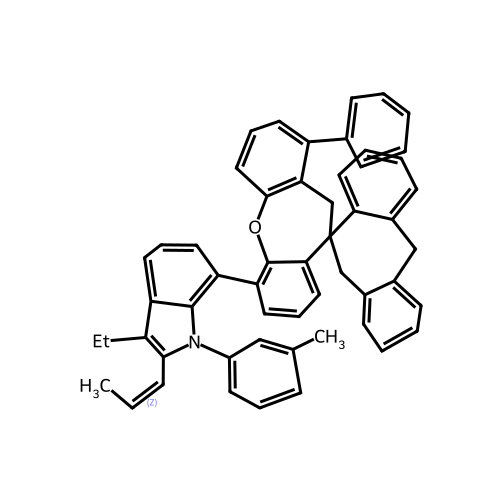 C/C=C\c1c(CC)c2cccc(-c3cccc4c3Oc3cccc(-c5ccccc5)c3CC43Cc4ccccc4Cc4ccccc43)c2n1-c1cccc(C)c1